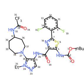 CCCCOC(=O)Nc1sc(-c2c(F)cccc2F)nc1C(=O)Nc1cnn(CC)c1N1CCCC(NC(=O)C(F)(F)F)CC1